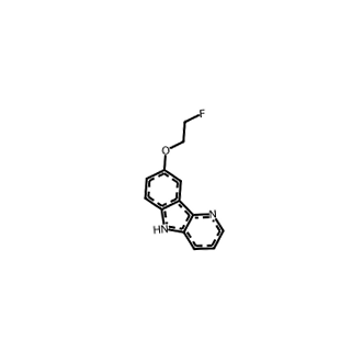 FCCOc1ccc2[nH]c3cccnc3c2c1